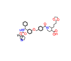 O=C(N[C@@H](c1ccccc1)c1cccc(OCc2ccc(C(=O)N3CCC(C(=O)O)C(CCCC4OCCO4)C3)cc2)c1)O[C@H]1CN2CCC1CC2